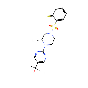 C[C@H]1CN(S(=O)(=O)C2=CC=CCC2=S)CCN1c1ncc(C(C)(O)C(F)(F)F)cn1